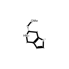 COC[C@@H]1Cc2sccc2CN1